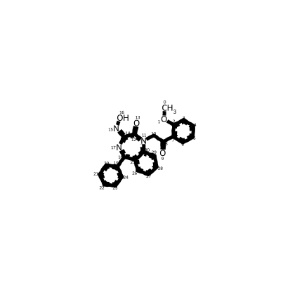 COc1ccccc1C(=O)Cn1c(=O)c(=NO)nc(-c2ccccc2)c2ccccc21